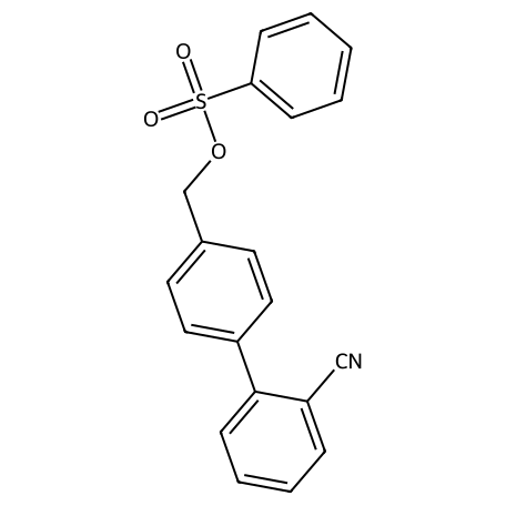 N#Cc1ccccc1-c1ccc(COS(=O)(=O)c2ccccc2)cc1